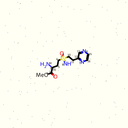 COC(=O)[C@@H](N)CCS(=N)(=O)CCc1cnccn1